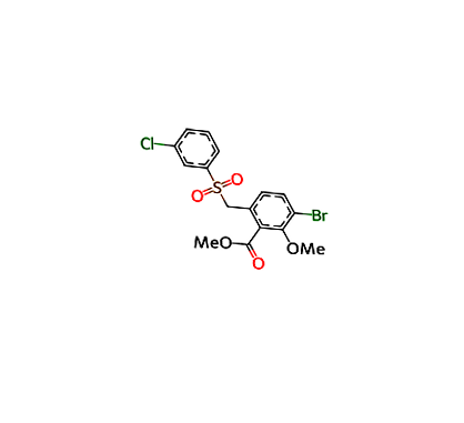 COC(=O)c1c(CS(=O)(=O)c2cccc(Cl)c2)ccc(Br)c1OC